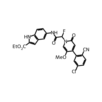 CCOC(=O)c1cc2cc(NC(=O)C(F)n3cc(OC)c(-c4cc(Cl)ccc4C#N)cc3=O)ccc2[nH]1